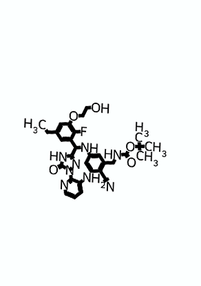 CCc1cc(OCCO)c(F)c(C(Nc2ccc(C#N)c(CNC(=O)OC(C)(C)C)c2)c2nn(-c3ncccc3N)c(=O)[nH]2)c1